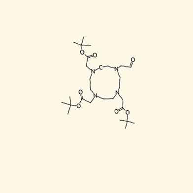 CC(C)(C)OC(=O)CN1CCN(CC=O)CCN(CC(=O)OC(C)(C)C)CCN(CC(=O)OC(C)(C)C)CC1